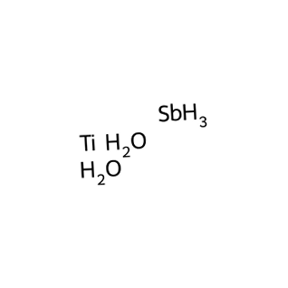 O.O.[SbH3].[Ti]